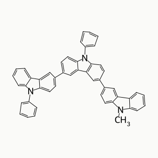 Cn1c2ccccc2c2cc(-c3ccc4c(c3)c3cc(-c5ccc6c(c5)c5ccccc5n6-c5ccccc5)ccc3n4-c3ccccc3)ccc21